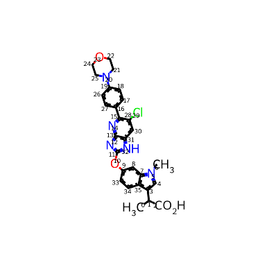 CC(C(=O)O)c1cn(C)c2cc(Oc3nc4nc(-c5ccc(N6CCOCC6)cc5)c(Cl)cc4[nH]3)ccc12